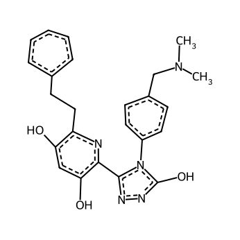 CN(C)Cc1ccc(-n2c(O)nnc2-c2nc(CCc3ccccc3)c(O)cc2O)cc1